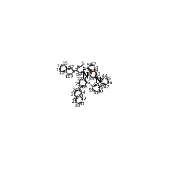 c1ccc(-c2ccc(-c3ccc4ccccc4c3)cc2N(c2ccc(-c3ccc4ccccc4c3)cc2)c2cccc(-n3c4ccccc4c4ccccc43)c2)cc1